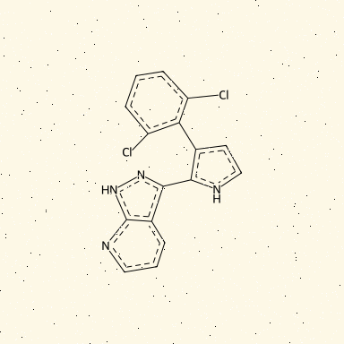 Clc1cccc(Cl)c1-c1cc[nH]c1-c1n[nH]c2ncccc12